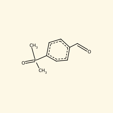 CP(C)(=O)c1ccc(C=O)cc1